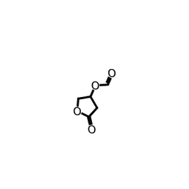 O=COC1COC(=O)C1